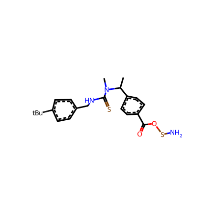 CC(c1ccc(C(=O)OSN)cc1)N(C)C(=S)NCc1ccc(C(C)(C)C)cc1